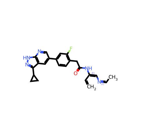 C=C/C(=C\N=C/C)NC(=O)Cc1ccc(-c2cnc3[nH]nc(C4CC4)c3c2)cc1F